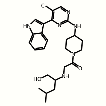 CC(C)CC(CO)NCC(=O)N1CCC(Nc2ncc(Cl)c(-c3c[nH]c4ccccc34)n2)CC1